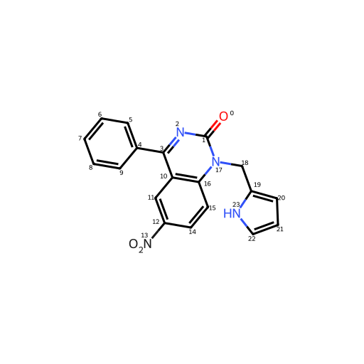 O=c1nc(-c2ccccc2)c2cc([N+](=O)[O-])ccc2n1Cc1ccc[nH]1